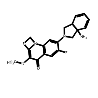 NC12C=CC=CC1CN(c1cc3c(cc1F)c(=O)c(OC(=O)O)c1n3CS1)C2